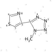 [CH2]n1nnnc1-c1cscn1